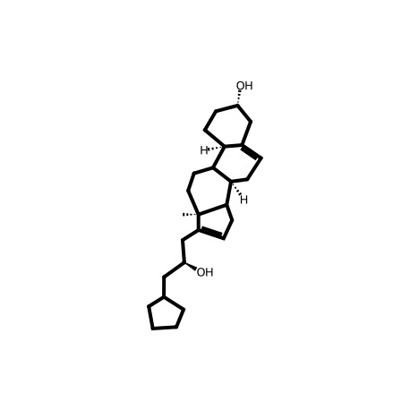 C[C@]12CCC3[C@@H](CC=C4C[C@@H](O)CC[C@@H]43)C1CC=C2C[C@@H](O)CC1CCCC1